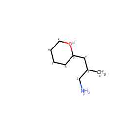 CC(CN)CC1CCCCO1